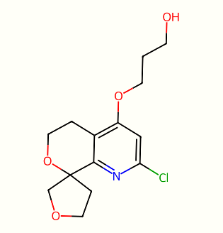 OCCCOc1cc(Cl)nc2c1CCOC21CCOC1